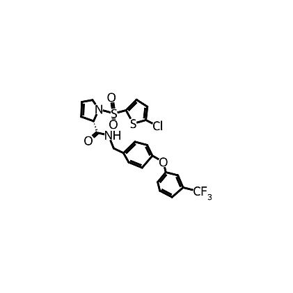 O=C(NCc1ccc(Oc2cccc(C(F)(F)F)c2)cc1)[C@@H]1C=CCN1S(=O)(=O)c1ccc(Cl)s1